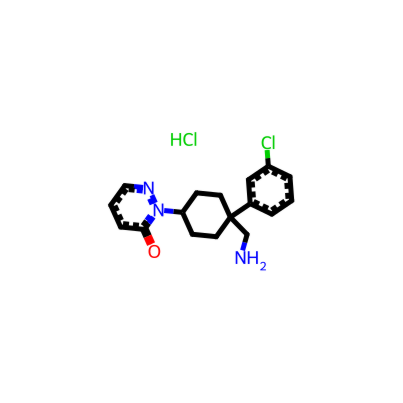 Cl.NCC1(c2cccc(Cl)c2)CCC(n2ncccc2=O)CC1